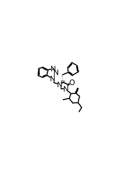 C=C1CC(CC)CC(C)C1N1CN(Cn2nnc3ccccc32)[C@H](Cc2ccccc2)C1=O